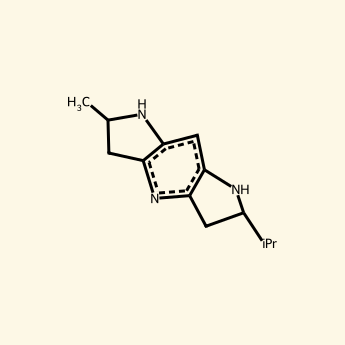 CC1Cc2nc3c(cc2N1)NC(C(C)C)C3